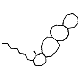 CCCCCCCC1CCCC2CCCC3CCCC4CCCCCCC4CCCC3CCCC2N1C